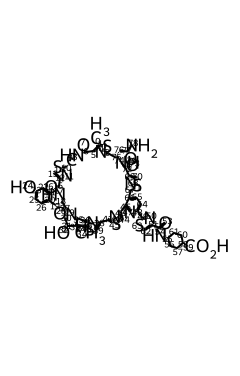 Cc1sc2nc1C(=O)NCc1nc(cs1)C(=O)N[C@@H](Cc1ccc(O)cc1)C(=O)N1C[C@H](O)[C@H](C)[C@H]1c1nc(cs1)-c1nc(cs1)-c1nc(-c3nc(C(=O)N[C@H]4CC[C@H](C(=O)O)CC4)cs3)ccc1-c1nc(cs1)C(=O)N[C@H]2CC(N)=O